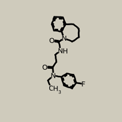 CCN(C(=O)CCNC(=O)N1CCCCc2ccccc21)c1ccc(F)cc1